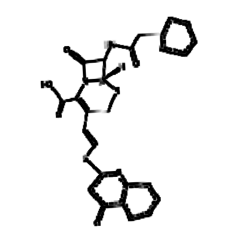 O=C(Cc1ccccc1)NC1C(=O)N2C(C(=O)O)=C(C=CSc3cc(=O)c4ccccc4s3)CS[C@@H]12